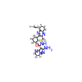 CC#Cc1cccc2nc(C(C)SNC(=O)c3c(N)nn4cccnc34)c(-c3ccccc3)nc12